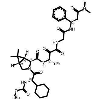 CCC[C@H](NC(=O)[C@@H]1[C@@H]2[C@H](CN1C(=O)[C@@H](NC(=O)OC(C)(C)C)C1CCCCC1)C2(C)C)C(=O)C(=O)NCC(=O)N[C@H](CC(=O)N(C)C)c1ccccc1